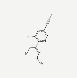 CC#Cc1cnc(C(CBr)=NOC(C)C)c(Cl)c1